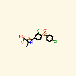 Cc1nc(-c2ccc([S+]([O-])c3ccc(Cl)cc3)c(Cl)c2)sc1C(=O)O